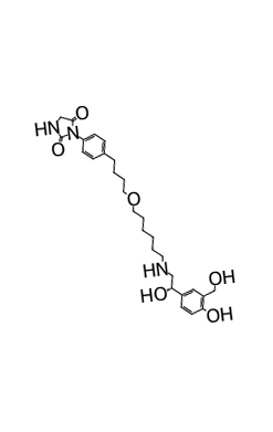 O=C1CNC(=O)N1c1ccc(CCCCOCCCCCCNC[C@H](O)c2ccc(O)c(CO)c2)cc1